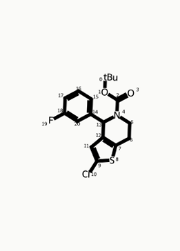 CC(C)(C)OC(=O)N1CCc2sc(Cl)cc2C1c1cccc(F)c1